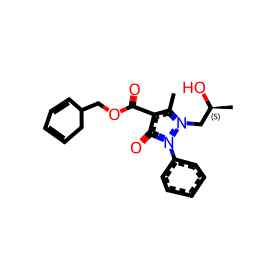 Cc1c(C(=O)OCC2C=CC=CC2)c(=O)n(-c2ccccc2)n1C[C@H](C)O